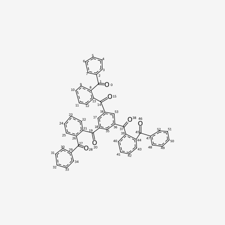 O=C(c1ccccc1)c1ccccc1C(=O)c1cc(C(=O)c2ccccc2C(=O)c2ccccc2)cc(C(=O)c2ccccc2C(=O)c2ccccc2)c1